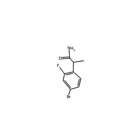 CC(C(N)=O)c1ccc(Br)cc1F